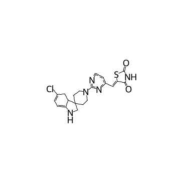 O=C1NC(=O)/C(=C/c2ccnc(N3CCC4(CC3)CNC3=CC=C(Cl)CC34)n2)S1